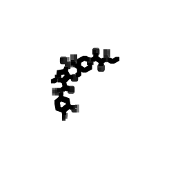 CCNC(=O)C(=O)N1CCC2(CC1)COc1c(cn(C)c1C(=O)Nc1ccc(F)c(Cl)c1)[S+]([O-])N2